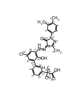 CC1=NN(c2ccc(C)c(C)c2)C(=O)/C1=N\Nc1cc(Cl)cc(-c2cccc(C(C)(C)C(=O)O)c2)c1O